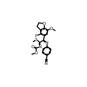 COC(=O)N=C(SC)C(=Nc1ccc(C#N)cc1)c1cc(OC)c2c(c1F)CCO2